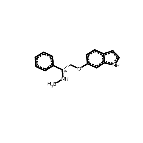 BN[C@@H](COc1ccc2cc[nH]c2c1)c1ccccc1